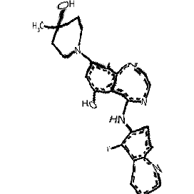 CC1(O)CCN(c2cc(O)c3c(Nc4ccc5ncccc5c4F)ncnc3c2)CC1